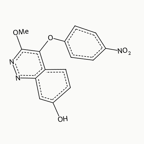 COc1nnc2cc(O)ccc2c1Oc1ccc([N+](=O)[O-])cc1